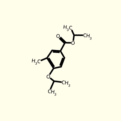 Cc1cc(C(=O)OC(C)C)ccc1OC(C)C